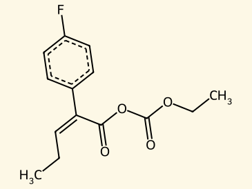 CCC=C(C(=O)OC(=O)OCC)c1ccc(F)cc1